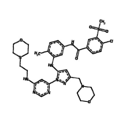 Cc1ccc(NC(=O)c2ccc(Cl)c(S(C)(=O)=O)c2)cc1Nc1cc(CN2CCOCC2)nn1-c1cc(NCCN2CCOCC2)ncn1